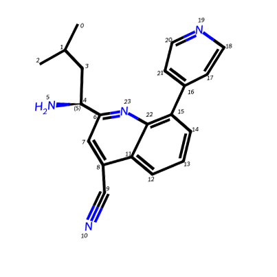 CC(C)C[C@H](N)c1cc(C#N)c2cccc(-c3ccncc3)c2n1